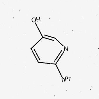 CCCc1ccc(O)cn1